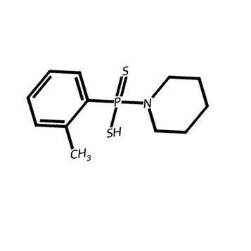 Cc1ccccc1P(=S)(S)N1CCCCC1